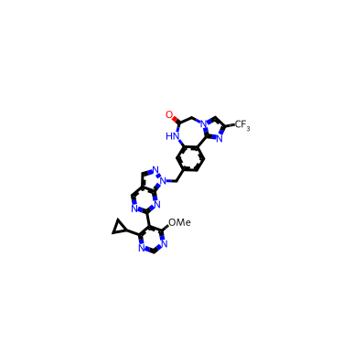 COc1ncnc(C2CC2)c1-c1ncc2cnn(Cc3ccc4c(c3)NC(=O)Cn3cc(C(F)(F)F)nc3-4)c2n1